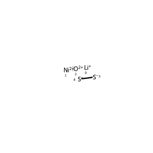 [Li+].[Ni+2].[O+2].[S-][S-]